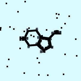 CC(C)(C)c1cnc2n1CCNC2